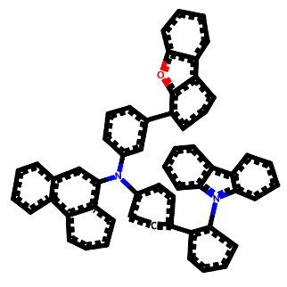 c1cc(-c2cccc3c2oc2ccccc23)cc(N(c2ccc(-c3ccccc3-n3c4ccccc4c4ccccc43)cc2)c2cc3ccccc3c3ccccc23)c1